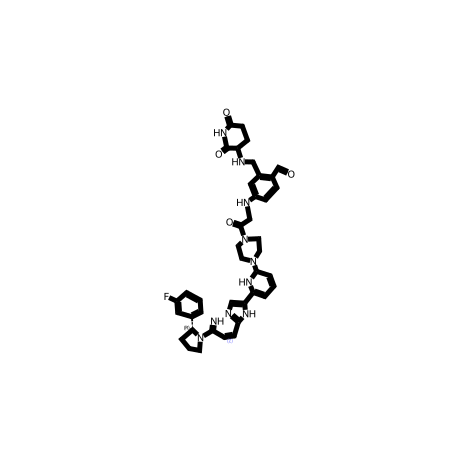 N=C(/C=C\c1ncc(C2=CC=CC(N3CCN(C(=O)CNc4ccc(C=O)c(CNC5CCC(=O)NC5=O)c4)CC3)N2)[nH]1)N1CCC[C@@H]1c1cccc(F)c1